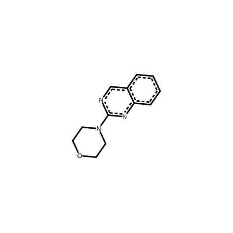 c1ccc2nc(N3CCOCC3)ncc2c1